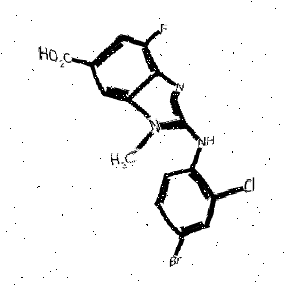 Cn1c(Nc2ccc(Br)cc2Cl)nc2c(F)cc(C(=O)O)cc21